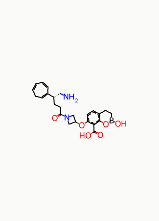 NC[C@H](CCC(=O)N1CC(Oc2ccc3c(c2C(=O)O)OB(O)CC3)C1)C1=CCC=CC=C1